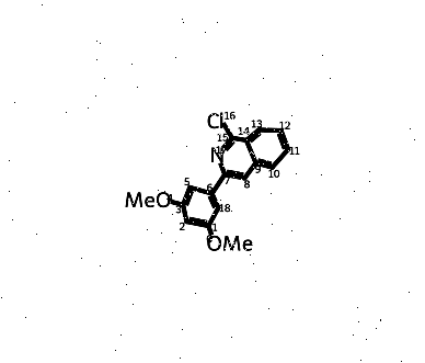 COc1cc(OC)cc(-c2cc3ccccc3c(Cl)n2)c1